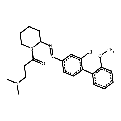 CN(C)CCC(=O)N1CCCCC1/N=N/c1ccc(-c2ccccc2OC(F)(F)F)c(Cl)c1